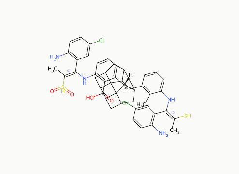 C/C(S)=C(/Nc1cccc(CC2C3CC4CC5C6CC7CC3[C@@H](c3cccc(N/C(=C(/C)[SH](=O)=O)c8cc(Cl)ccc8N)c3C(=O)O)C76C425)c1C)c1cc(Cl)ccc1N